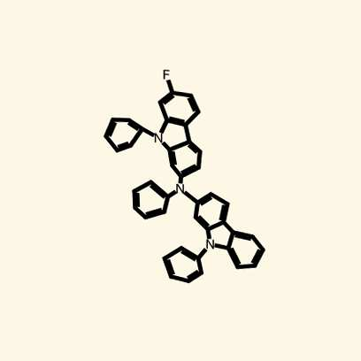 Fc1ccc2c3ccc(N(c4ccccc4)c4ccc5c6ccccc6n(-c6ccccc6)c5c4)cc3n(-c3ccccc3)c2c1